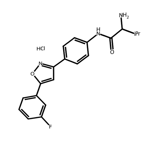 CC(C)C(N)C(=O)Nc1ccc(-c2cc(-c3cccc(F)c3)on2)cc1.Cl